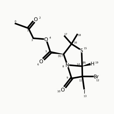 CC(=O)COC(=O)[C@@H]1N2C(=O)C(Br)(I)[C@H]2SC1(C)C